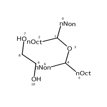 CCCCCCCCCC(CCCCCCCC)OC(CCCCCCCC)CCCCCCCCC.OCCO